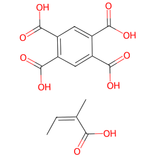 CC=C(C)C(=O)O.O=C(O)c1cc(C(=O)O)c(C(=O)O)cc1C(=O)O